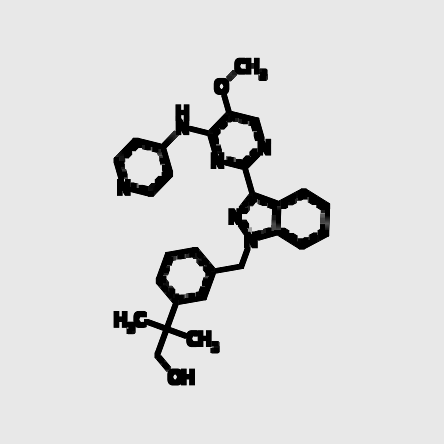 COc1cnc(-c2nn(Cc3cccc(C(C)(C)CO)c3)c3ccccc23)nc1Nc1ccncc1